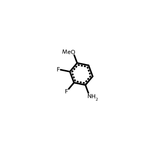 COc1ccc(N)c(F)c1F